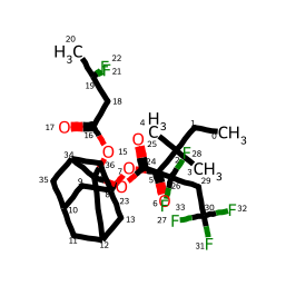 CCC(C)(C)C(=O)OC12CC3CC(C1)C(OC(=O)CC(C)(F)F)(OC(=O)C(F)(F)CC(F)(F)F)C(C3)C2